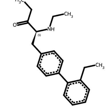 CCN[C@@H](Cc1ccc(-c2ccccc2CC)cc1)C(=O)CC